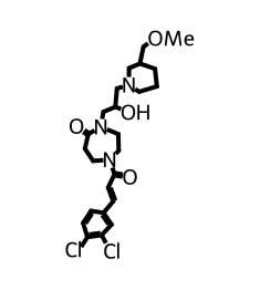 COCC1CCCN(CC(O)CN2CCN(C(=O)/C=C/c3ccc(Cl)c(Cl)c3)CCC2=O)C1